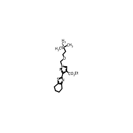 CCOC(=O)c1cn(COCC[Si](C)(C)C)nc1-c1nc2c(s1)CCCC2